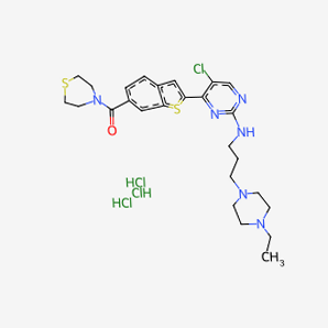 CCN1CCN(CCCNc2ncc(Cl)c(-c3cc4ccc(C(=O)N5CCSCC5)cc4s3)n2)CC1.Cl.Cl.Cl